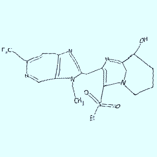 CCS(=O)(=O)c1c(-c2nc3cc(C(F)(F)F)ncc3n2C)nc2n1CCCC2O